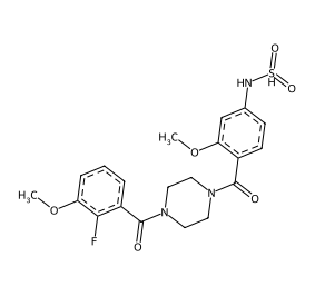 COc1cc(N[SH](=O)=O)ccc1C(=O)N1CCN(C(=O)c2cccc(OC)c2F)CC1